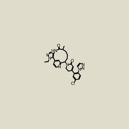 CCn1ncc2c1-c1ccnc(c1)C(N1CCC(c3cc(Cl)ccc3-n3ccnn3)=CC1=O)CCCC(C)C(=O)N2